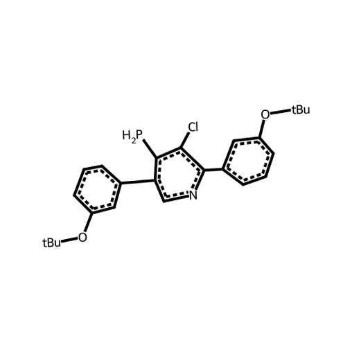 CC(C)(C)Oc1cccc(-c2cnc(-c3cccc(OC(C)(C)C)c3)c(Cl)c2P)c1